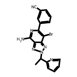 CC(c1ccccn1)n1nc2c(N)nc(-c3cccc(C#N)c3)c(Br)c2n1